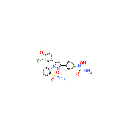 COc1ccc(-c2cc(-c3ccc(N(O)C(N)=O)cc3)nn2-c2ccccc2S(N)(=O)=O)cc1Cl